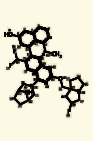 CCc1cccc2cc(O)cc(-c3c(C(F)F)cc4c(N5CC6CCC(C5)N6)nc(OCC56CCCN5CC(F)C6)nc4c3F)c12